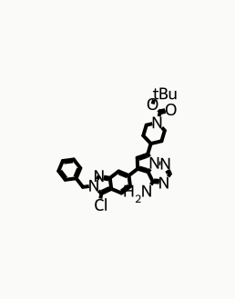 CC(C)(C)OC(=O)N1CCC(c2cc(-c3ccc4c(Cl)n(Cc5ccccc5)nc4c3)c3c(N)ncnn23)CC1